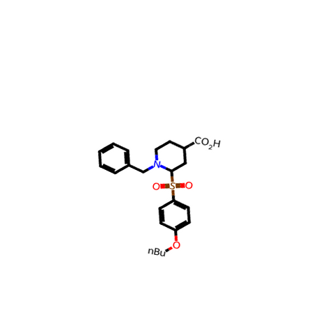 CCCCOc1ccc(S(=O)(=O)C2CC(C(=O)O)CCN2Cc2ccccc2)cc1